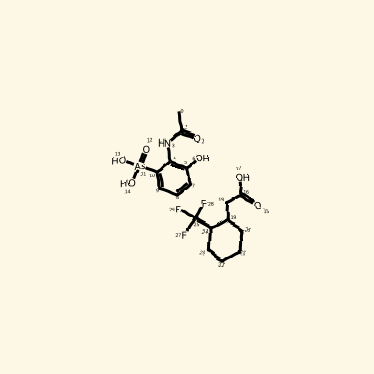 CC(=O)Nc1c(O)cccc1[As](=O)(O)O.O=C(O)CC1CCCCC1C(F)(F)F